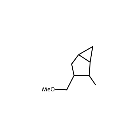 COCC1CC2CC2C1C